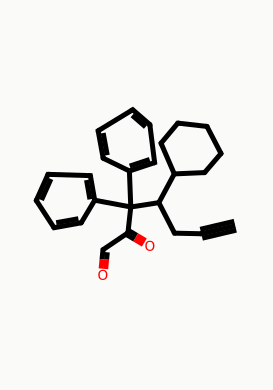 C#CCC(C1CCCCC1)C(C(=O)C=O)(c1ccccc1)c1ccccc1